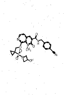 Cn1c(=O)c(C(=O)NCc2ccc(C#N)cc2)cc2ccnc(OCC3(S(=O)(=O)N4CC(O)C4)CC3)c21